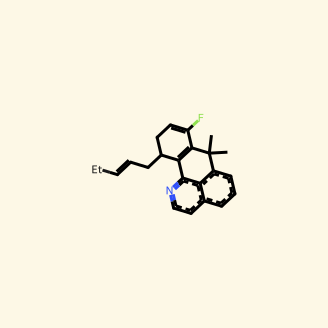 CCC=CCC1CC=C(F)C2=C1c1nccc3cccc(c13)C2(C)C